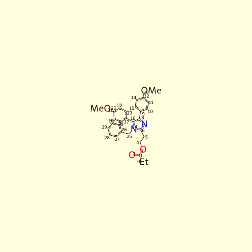 CCC(=O)OCCc1nc(-c2ccc(OC)cc2)c(-c2ccc(OC)cc2)n1Cc1ccccc1